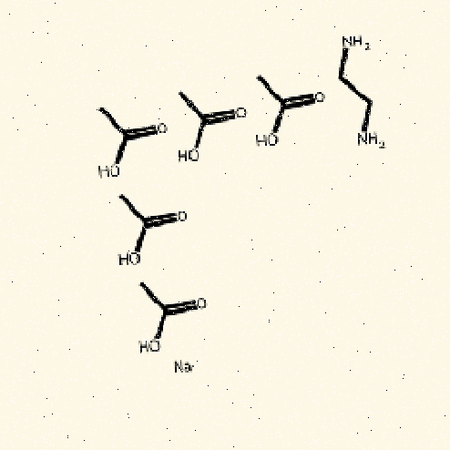 CC(=O)O.CC(=O)O.CC(=O)O.CC(=O)O.CC(=O)O.NCCN.[Na]